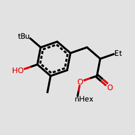 CCCCCCOC(=O)C(CC)Cc1cc(C)c(O)c(C(C)(C)C)c1